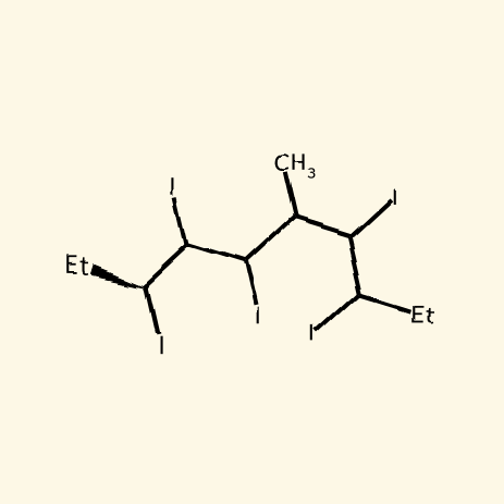 CCC(I)C(I)C(C)C(I)C(I)[C@@H](I)CC